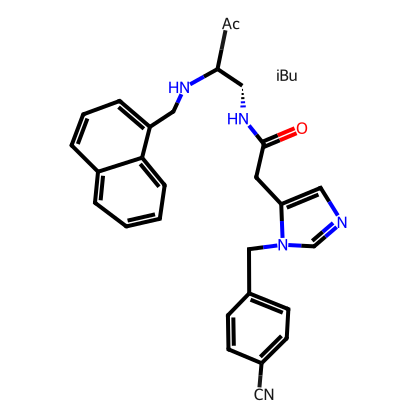 CC[C@H](C)[C@H](NC(=O)Cc1cncn1Cc1ccc(C#N)cc1)C(NCc1cccc2ccccc12)C(C)=O